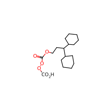 O=C(O)OOC(=O)OCCC(C1CCCCC1)C1CCCCC1